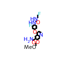 COCCOc1cc2nccc(Oc3ccc(NC(=O)NCCF)c(F)c3)c2cc1C(N)=O